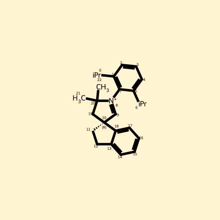 CC(C)c1cccc(C(C)C)c1[N+]1=C[C@]2(CCc3ccccc32)CC1(C)C